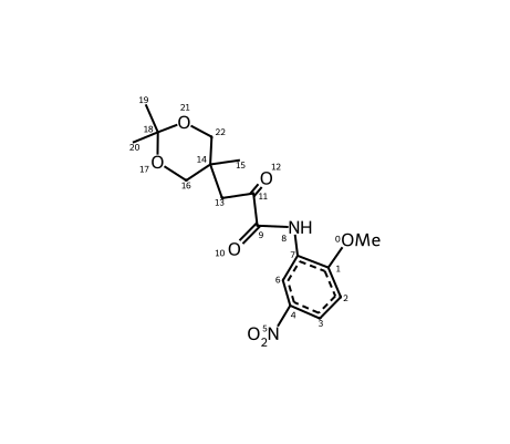 COc1ccc([N+](=O)[O-])cc1NC(=O)C(=O)CC1(C)COC(C)(C)OC1